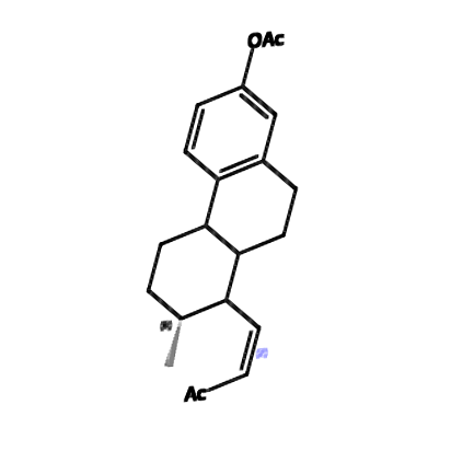 CC(=O)/C=C\C1C2CCc3cc(OC(C)=O)ccc3C2CC[C@H]1C